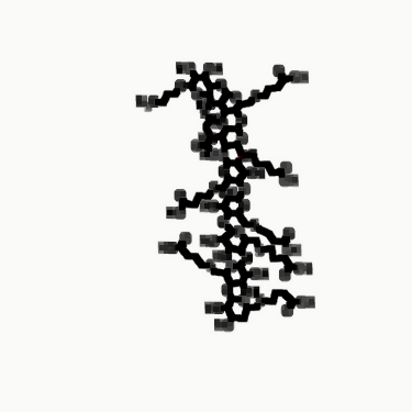 CCCCOC1OC(CSCCCC(=O)O)C(OC2OC(CSCCCC(=O)O)C(OC3OC(CSCCCC(=O)O)C(OC4OC(CSCCCC(=O)O)C(OC5OC(CSCCCC(=O)O)C(OC6OC(CSCCCC(=O)O)C(OC7OC(CSCCCC(=O)O)C(OC8OC(CSCCCC(=O)O)CC(O)C8O)C(O)C7O)C(O)C6O)C(O)C5O)C(O)C4O)C(O)C3O)C(O)C2O)C(O)C1O